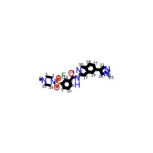 CN1CCN(S(=O)(=O)c2cccc(C(=O)Nc3cc4cc(-c5cnn(C)c5)ccc4cn3)c2F)CC1